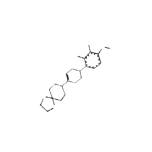 CCOc1ccc(C2CC=C(C3CCC4(CC3)OCCO4)CC2)c(F)c1F